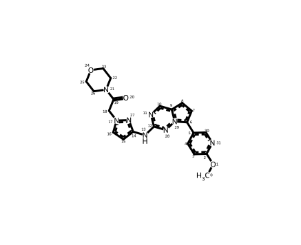 COc1ccc(-c2ccc3cnc(Nc4ccn(CC(=O)N5CCOCC5)n4)nn23)cn1